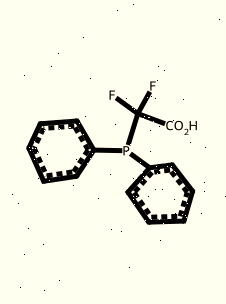 O=C(O)C(F)(F)P(c1ccccc1)c1ccccc1